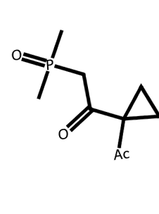 CC(=O)C1(C(=O)CP(C)(C)=O)CC1